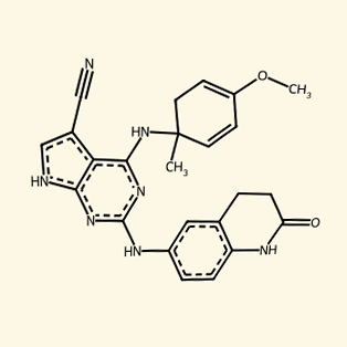 COC1=CCC(C)(Nc2nc(Nc3ccc4c(c3)CCC(=O)N4)nc3[nH]cc(C#N)c23)C=C1